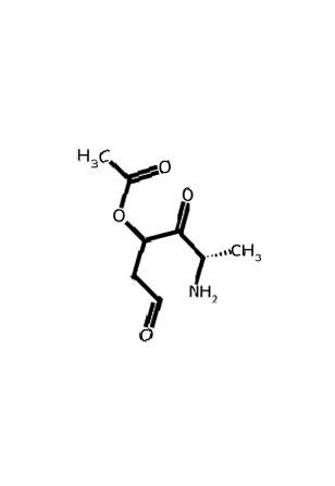 CC(=O)OC(CC=O)C(=O)[C@H](C)N